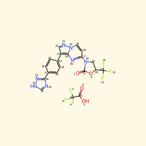 O=C(O)C(F)(F)F.O=C1OC(C(F)(F)F)CN1c1ccn2ncc(-c3ccc(-c4nc[nH]n4)cc3)c2n1